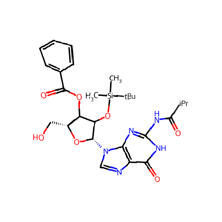 CC(C)C(=O)Nc1nc2c(ncn2[C@@H]2O[C@H](CO)C(OC(=O)c3ccccc3)C2O[Si](C)(C)C(C)(C)C)c(=O)[nH]1